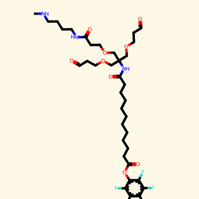 CNCCCCNC(=O)CCOCC(COCCC=O)(COCCC=O)NC(=O)CCCCCCCCCCC(=O)Oc1c(F)c(F)c(F)c(F)c1F